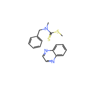 CSC(=S)N(C)Cc1ccccc1.c1ccc2nccnc2c1